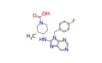 C[C@@H]1CN(C(=O)O)CC[C@@H]1Nc1nc2cncnc2n1Cc1ccc(F)cc1